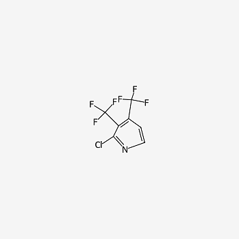 FC(F)(F)c1ccnc(Cl)c1C(F)(F)F